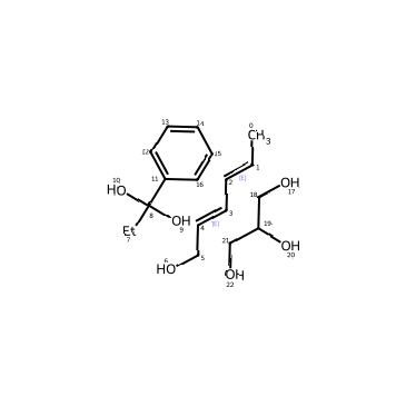 C/C=C/C=C/CO.CCC(O)(O)c1ccccc1.OCC(O)CO